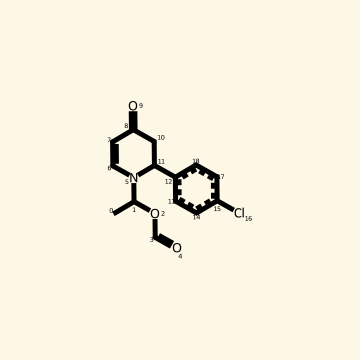 CC(OC=O)N1C=CC(=O)CC1c1ccc(Cl)cc1